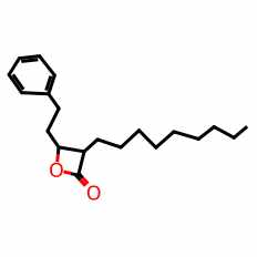 CCCCCCCCCC1C(=O)OC1CCc1ccccc1